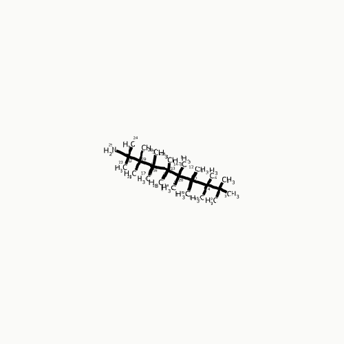 CC(C)(C)C(C)(C)C(C)(C)C(C)(C)C(C)(C)C(C)(C)C(C)(C)C(C)(C)N